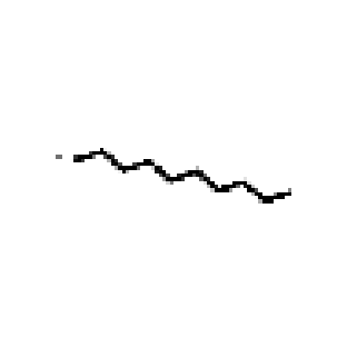 [CH2]CCCCCCCCC.[LiH]